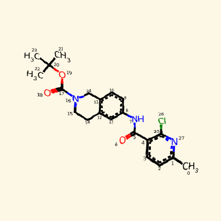 Cc1ccc(C(=O)Nc2ccc3c(c2)CCN(C(=O)OC(C)(C)C)C3)c(Cl)n1